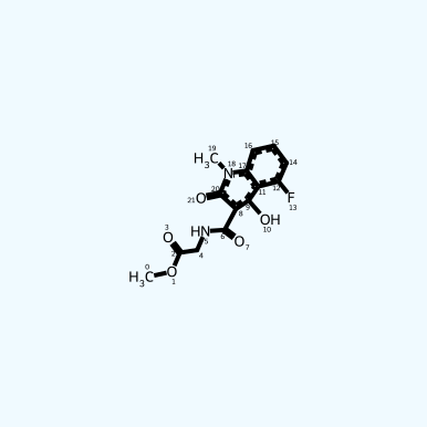 COC(=O)CNC(=O)c1c(O)c2c(F)cccc2n(C)c1=O